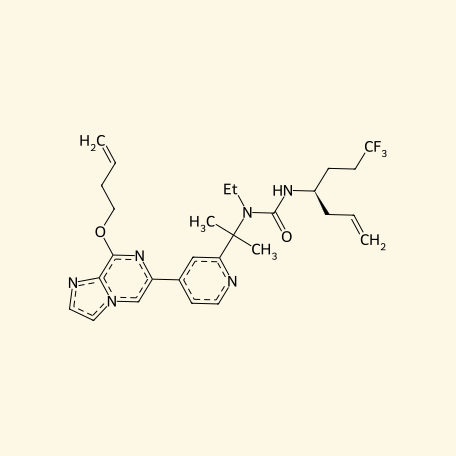 C=CCCOc1nc(-c2ccnc(C(C)(C)N(CC)C(=O)N[C@H](CC=C)CCC(F)(F)F)c2)cn2ccnc12